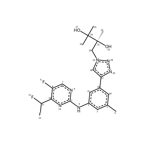 Cc1cc(Nc2ncc(F)c(C(F)F)n2)cc(-c2cn(C[C@](C)(O)C(C)(C)O)nn2)c1